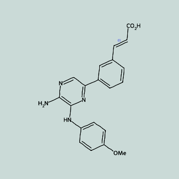 COc1ccc(Nc2nc(-c3cccc(/C=C/C(=O)O)c3)cnc2N)cc1